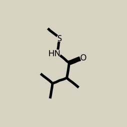 CSNC(=O)C(C)C(C)C